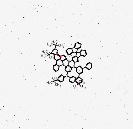 CC(C)(C)c1ccc(N(c2ccc(C(C)(C)C)cc2)c2cc3c4c(c2)N(c2ccccc2-c2ccccc2)c2cc(-c5cc(C(C)(C)C)cc(C(C)(C)C)c5)ccc2B4c2cc4c(cc2N3c2cc(-c3ccccc3)cc(-c3ccccc3)c2)-c2ccccc2C42c3ccccc3-c3ccccc32)cc1